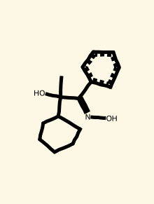 CC(O)(C(=NO)c1ccccc1)C1CCCCC1